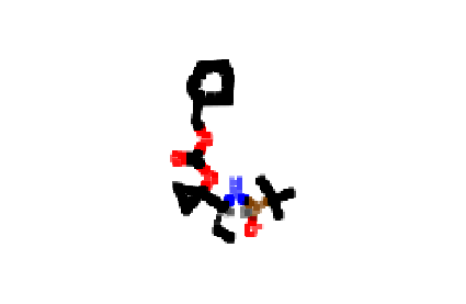 CC[C@@H](N[S@+]([O-])C(C)(C)C)C1(OC(=O)OCc2ccccc2)CC1